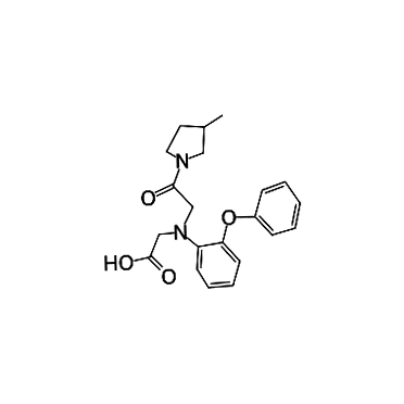 CC1CCN(C(=O)CN(CC(=O)O)c2ccccc2Oc2ccccc2)C1